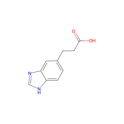 O=C(O)CCc1ccc2[nH]cnc2c1